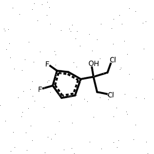 OC(CCl)(CCl)c1ccc(F)c(F)c1